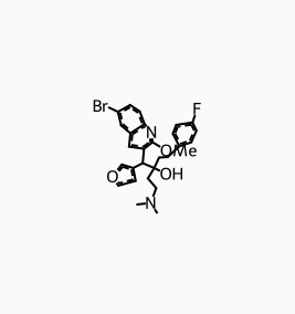 COc1nc2ccc(Br)cc2cc1C(c1ccoc1)C(O)(CCc1ccc(F)cc1)CCN(C)C